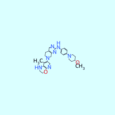 COC1CCN(c2ccc(Nc3ncc4c(n3)CN(c3cnc5c(c3C)NCCO5)CC4)cc2)CC1